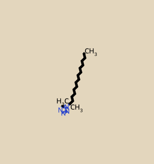 CCCCCCCCCCCCCCCC(C)(C)n1cnnn1